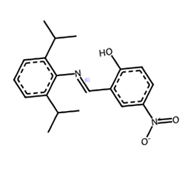 CC(C)c1cccc(C(C)C)c1/N=C/c1cc([N+](=O)[O-])ccc1O